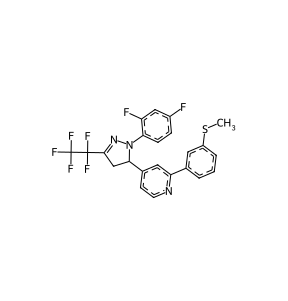 CSc1cccc(-c2cc(C3CC(C(F)(F)C(F)(F)F)=NN3c3ccc(F)cc3F)ccn2)c1